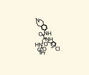 CC(C)OC(=O)NCC[C@@H](NC(=O)c1ccc(Cl)s1)C(=O)Nc1ccc2c(c1)CCN(C)CC2